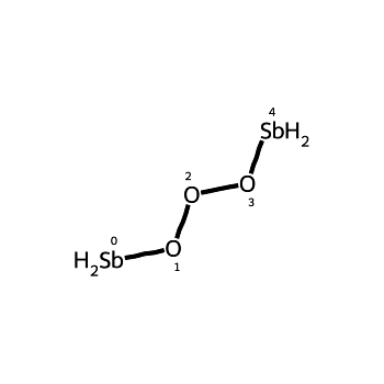 [SbH2][O]O[O][SbH2]